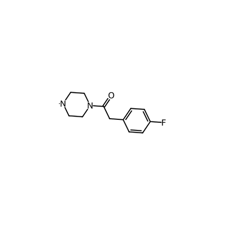 O=C(Cc1ccc(F)cc1)N1CC[N]CC1